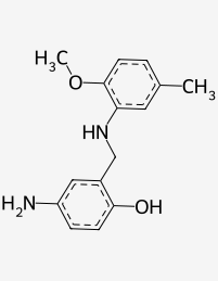 COc1ccc(C)cc1NCc1cc(N)ccc1O